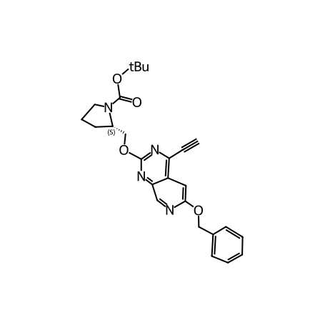 C#Cc1nc(OC[C@@H]2CCCN2C(=O)OC(C)(C)C)nc2cnc(OCc3ccccc3)cc12